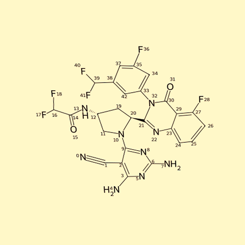 N#Cc1c(N)nc(N)nc1N1C[C@H](NC(=O)C(F)F)C[C@H]1c1nc2cccc(F)c2c(=O)n1-c1cc(F)cc(C(F)F)c1